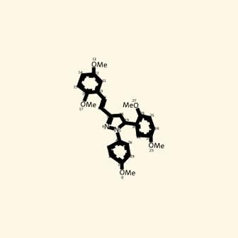 COc1ccc(N2N=C(C=Cc3cc(OC)ccc3OC)CC2c2cc(OC)ccc2OC)cc1